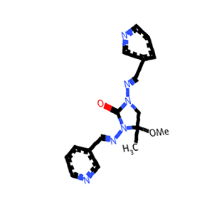 COC1(C)CN(/N=C/c2cccnc2)C(=O)N1/N=C/c1cccnc1